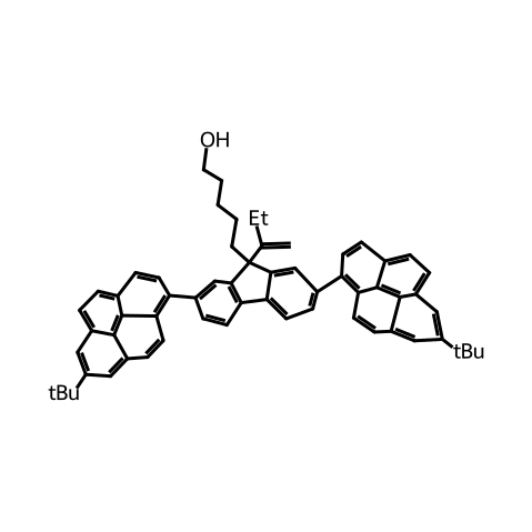 C=C(CC)C1(CCCCCO)c2cc(-c3ccc4ccc5cc(C(C)(C)C)cc6ccc3c4c56)ccc2-c2ccc(-c3ccc4ccc5cc(C(C)(C)C)cc6ccc3c4c56)cc21